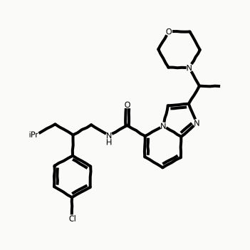 CC(C)CC(CNC(=O)c1cccc2nc(C(C)N3CCOCC3)cn12)c1ccc(Cl)cc1